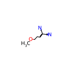 COCCC=C(C#N)C#N